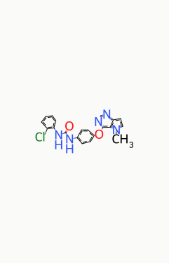 Cn1ccc2ncnc(Oc3ccc(NC(=O)Nc4ccccc4Cl)cc3)c21